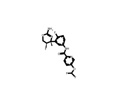 C[C@]1(c2cc(NC(=O)c3ccc(OC(F)F)cn3)ccc2F)N=C(N)OC[C@@H]1F